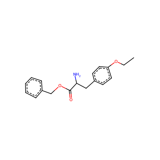 CCOc1ccc(CC(N)C(=O)OCc2ccccc2)cc1